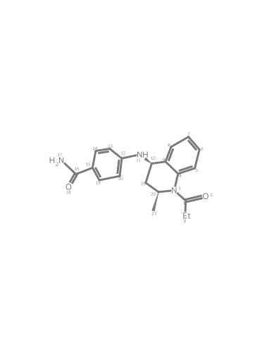 CCC(=O)N1c2ccccc2[C@H](Nc2ccc(C(N)=O)cc2)C[C@@H]1C